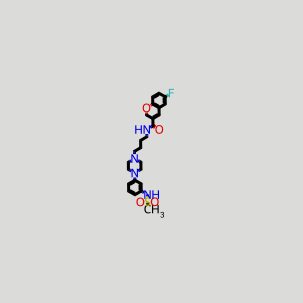 CS(=O)(=O)Nc1cccc(N2CCN(CCCCNC(=O)C3=Cc4cc(F)ccc4OC3)CC2)c1